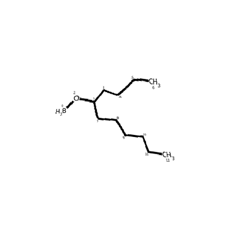 BOC(CCCC)CCCCCC